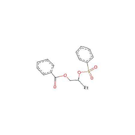 CCC(COC(=O)c1ccccc1)OS(=O)(=O)c1ccccc1